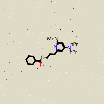 CCCN(CCC)c1cc(CCCOC(=O)C2CCCCC2)nc(NC)c1